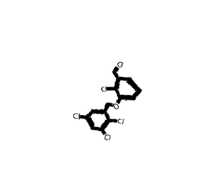 O=Cc1cccc(OCc2cc(Cl)cc(Cl)c2Cl)c1Cl